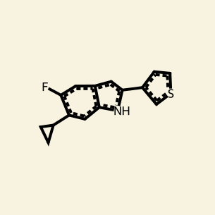 Fc1cc2cc(-c3ccsc3)[nH]c2cc1C1CC1